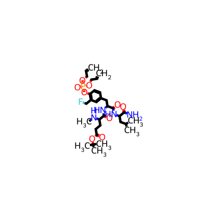 C=CCOP(=O)(OCC=C)Oc1ccc(CC(NC(=O)C(CCC(=O)OC(C)(C)C)NC)C(=O)NC(CC(C)C)C(N)=O)cc1CF